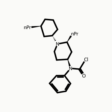 CCC[C@H]1CCC[C@H](N2CC[C@H](N(C(=O)Cl)c3ccccc3)C[C@@H]2CCC)C1